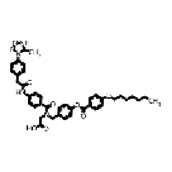 CCCCCCCOc1ccc(C(=O)Oc2ccc(CN(CC(=O)O)C(=O)c3ccc(NC(=O)Cc4ccc(N5N=NNC5C)cc4)cc3)cc2)cc1